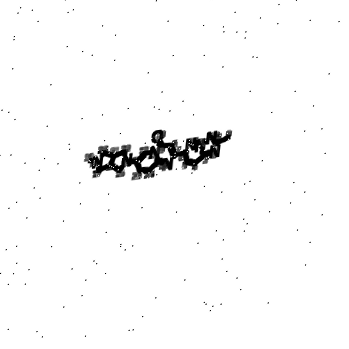 Cc1nc2ccc(-c3cc(=O)n4cc(N5CC6CN(C)CC6C5)ccc4n3)nn2n1